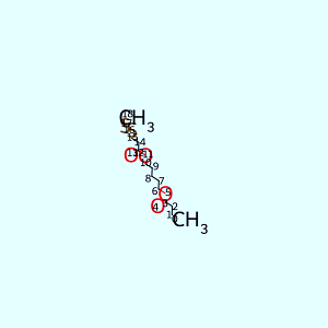 CCCC(=O)OCCCCCOC(=O)CCSSC